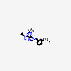 Cc1cccc(Cn2cnc3c(NC4CC4)nc(C(F)(F)F)nc32)c1